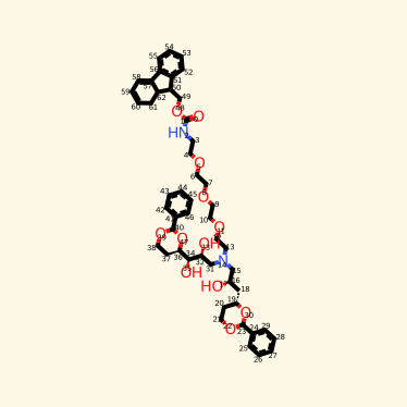 O=C(NCCOCCOCCOCCN(C[C@H](O)C[C@H]1CCOC(c2ccccc2)O1)C[C@H](O)[C@@H](O)[C@H]1CCOC(c2ccccc2)O1)OCC1c2ccccc2C2=CC=CCC21